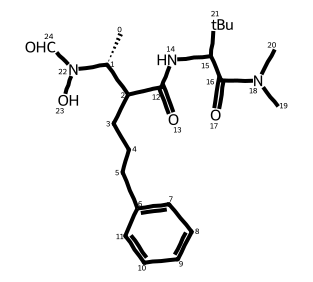 C[C@H](C(CCCc1ccccc1)C(=O)NC(C(=O)N(C)C)C(C)(C)C)N(O)C=O